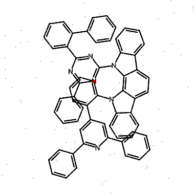 c1ccc(-c2cc(-c3ccccc3-n3c4ccccc4c4ccc5c6ccccc6n(-c6nc(-c7ccccc7)nc(-c7ccccc7-c7ccccc7)n6)c5c43)cc(-c3ccccc3)n2)cc1